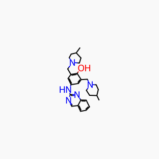 CC1CCN(Cc2cc(Nc3ncc4ccccc4n3)cc(CN3CCC(C)CC3)c2O)CC1